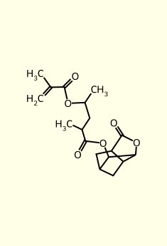 C=C(C)C(=O)OC(C)CC(C)C(=O)OC1C2CC3C(=O)OC1C3C2